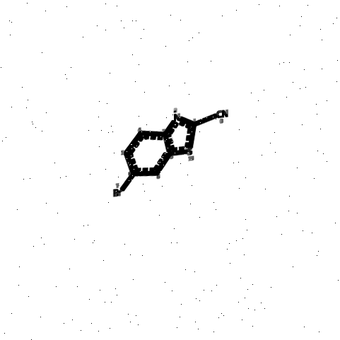 N#Cc1nc2ccc(Br)cc2s1